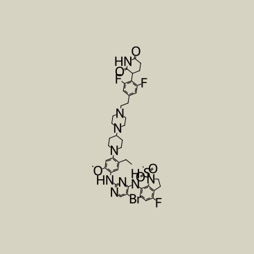 CCc1cc(Nc2ncc(Br)c(Nc3ccc(F)c4c3N(S(C)(=O)=O)CC4)n2)c(OC)cc1N1CCC(N2CCN(CCc3cc(F)c(C4CCC(=O)NC4=O)c(F)c3)CC2)CC1